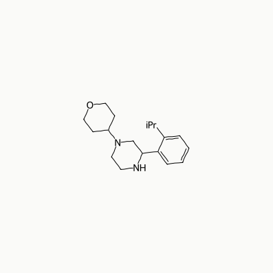 CC(C)c1ccccc1C1CN(C2CCOCC2)CCN1